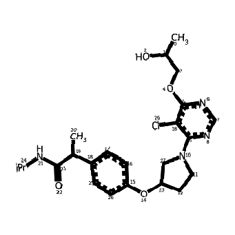 CC(O)COc1ncnc(N2CCC(Oc3ccc(C(C)C(=O)NC(C)C)cc3)C2)c1Cl